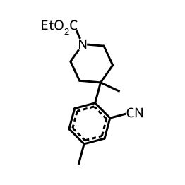 CCOC(=O)N1CCC(C)(c2ccc(C)cc2C#N)CC1